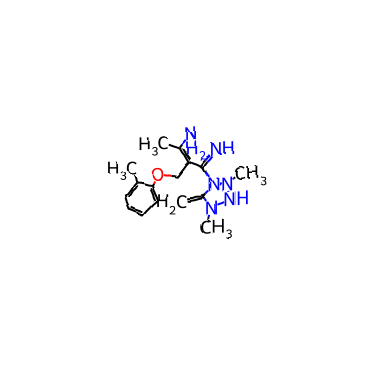 C=C1N(C)NN(C)N1C(=N)/C(COc1ccccc1C)=C(/C)N